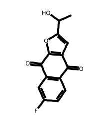 CC(O)c1cc2c(o1)C(=O)c1cc(F)ccc1C2=O